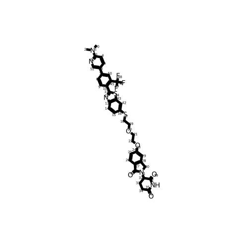 CN(C)c1ccc(-c2ccc(-c3nc4ccc(SCCOCCOc5ccc6c(c5)CN(C5CCC(=O)NC5=O)C6=O)cc4s3)c(C(F)(F)F)c2)cn1